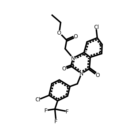 CCOC(=O)Cn1c(=O)n(Cc2ccc(Cl)c(C(F)(F)F)c2)c(=O)c2ccc(Cl)cc21